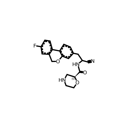 N#CC(Cc1ccc2c(c1)OCc1cc(F)ccc1-2)NC(=O)[C@@H]1CNCCO1